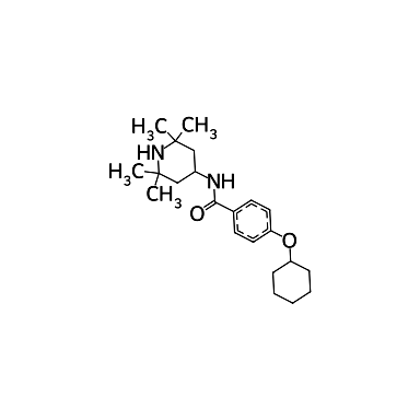 CC1(C)CC(NC(=O)c2ccc(OC3CCCCC3)cc2)CC(C)(C)N1